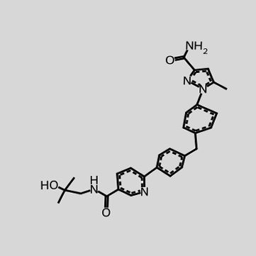 Cc1cc(C(N)=O)nn1-c1ccc(Cc2ccc(-c3ccc(C(=O)NCC(C)(C)O)cn3)cc2)cc1